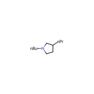 C[CH]CCN1CCC(CCC)C1